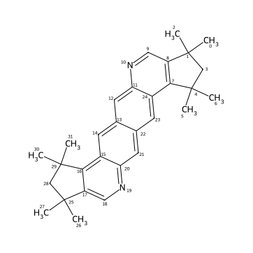 CC1(C)CC(C)(C)c2c1cnc1cc3cc4c5c(cnc4cc3cc21)C(C)(C)CC5(C)C